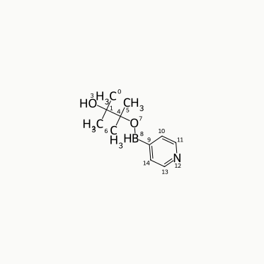 CC(C)(O)C(C)(C)OBc1ccncc1